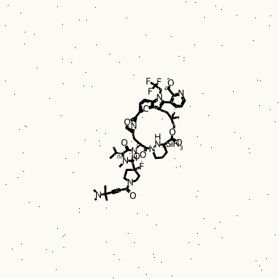 CO[C@@H](C)c1ncccc1-c1c2c3cc(ccc3n1CC(F)(F)F)-c1nc(co1)C[C@H](NC(=O)[C@H](C(C)C)N(C)C(=O)C1(F)CCN(C(=O)C#CC(C)(C)N(C)C)CC1)C(=O)N1CCC[C@@]([SiH3])(N1)C(=O)OCC(C)(C)C2